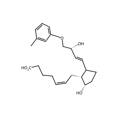 Cc1cccc(OC[C@H](O)/C=C/C2CC[C@H](O)[C@@H]2C/C=C\CCCC(=O)O)c1